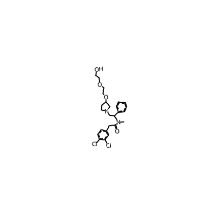 CN(C(=O)Cc1ccc(Cl)c(Cl)c1)C(CN1CCC(OCCOCCO)C1)c1ccccc1